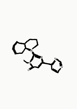 Cn1c(N2CCCC3CCCCC32)nc(-c2ccncn2)cc1=O